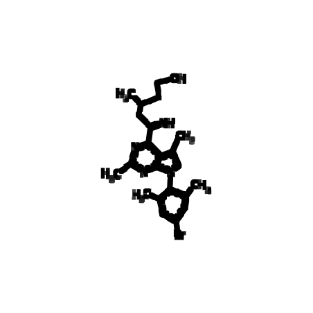 Cc1nc(C(=N)CC(C)CCO)c2c(C)cn(-c3c(C)cc(Br)cc3C)c2n1